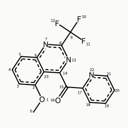 COc1cccc2nc(C(F)(F)F)nc(C(=O)c3ccccn3)c12